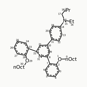 CCCCCCCCOc1ccccc1-c1cc(-c2ccc(N(CC)CC(C)C)cc2)cc(-c2ccccc2OCCCCCCCC)n1